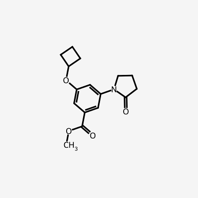 COC(=O)c1cc(OC2CCC2)cc(N2CCCC2=O)c1